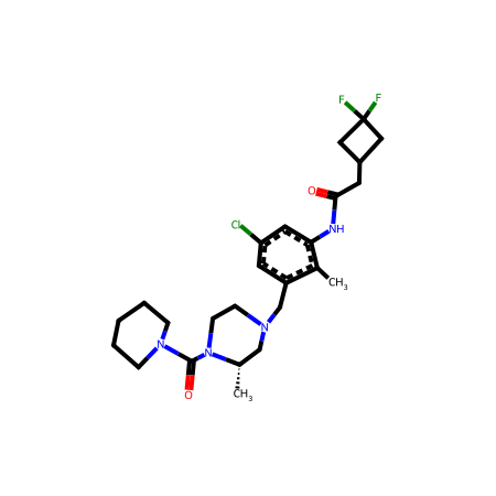 Cc1c(CN2CCN(C(=O)N3CCCCC3)[C@@H](C)C2)cc(Cl)cc1NC(=O)CC1CC(F)(F)C1